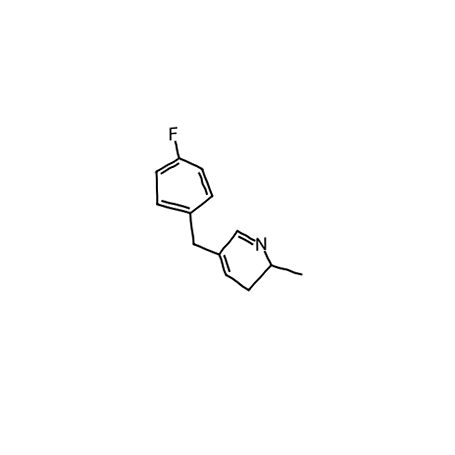 CC1CC=C(Cc2ccc(F)cc2)C=N1